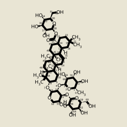 C[C@@H]1O[C@@H](O[C@H]2[C@H](O[C@H]3CC[C@]4(C)[C@H]5CC=C6[C@@H]7CC(C)(C)CC[C@]7(C(=O)O[C@@H]7O[C@H](CO)[C@@H](O)[C@H](O)[C@H]7O)CC[C@@]6(C)[C@]5(C)CC[C@H]4C3(C)C)OC[C@H](O)[C@@H]2O[C@@H]2O[C@H](CO)[C@@H](O)[C@H](O)[C@H]2O)[C@H](O)[C@H](O)[C@H]1O